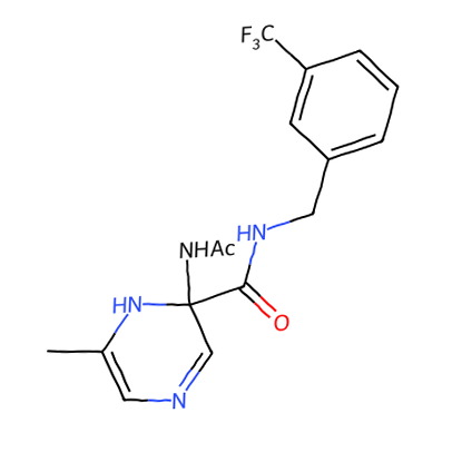 CC(=O)NC1(C(=O)NCc2cccc(C(F)(F)F)c2)C=NC=C(C)N1